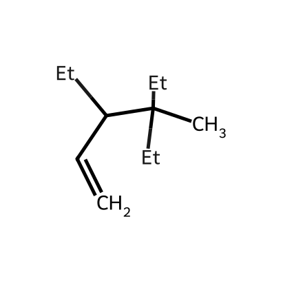 C=CC(CC)C(C)(CC)CC